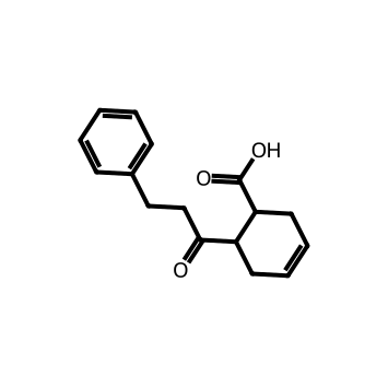 O=C(O)C1CC=CCC1C(=O)CCc1ccccc1